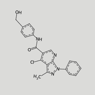 Cc1nn(-c2ccccc2)c2ncc(C(=O)Nc3ccc(CO)cc3)c(Cl)c12